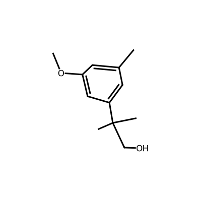 COc1cc(C)cc(C(C)(C)CO)c1